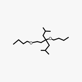 CCCCOCCC(CC(C)C)(CC(C)C)OCCCC